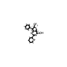 Oc1nc(-c2ccccn2)nc2c(-c3cccnc3)c(C(F)(F)F)sc12